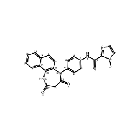 Cn1ccnc1C(=O)Nc1ccc(N2C(=O)CC(=O)Nc3c2ccc2ccccc32)cc1